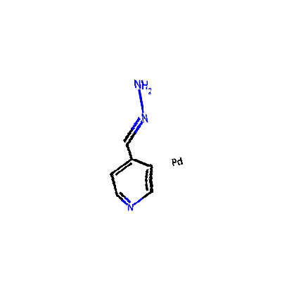 NN=Cc1ccncc1.[Pd]